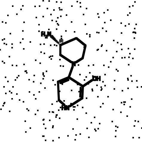 N[C@@H]1CCCN(C2=CCNC=C2O)C1